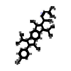 C=C(/C=C\C(=C)C(F)(F)F)C1=C(C#N)c2cc3c(cc2C1=C(C#N)C#N)C(C#N)=C(c1ccc(C(F)(F)F)cc1)C3=C(C#N)C#N